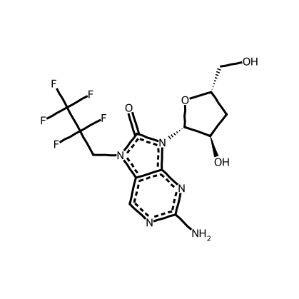 Nc1ncc2c(n1)n([C@@H]1O[C@H](CO)C[C@H]1O)c(=O)n2CC(F)(F)C(F)(F)F